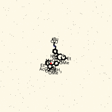 CCC1=C[C@H]2CN(C1)Cc1c([nH]c3ccc(/C=C/C(=O)OC(C)(C)C)cc13)[C@@](C(=O)OC)(C1C=C3C(=CC1OC)N(C)[C@H]1[C@@](O)(C(=O)OC)[C@H](OC(C)=O)C4[C@@H](CC)CCN5CC[C@]31[C@H]45)C2